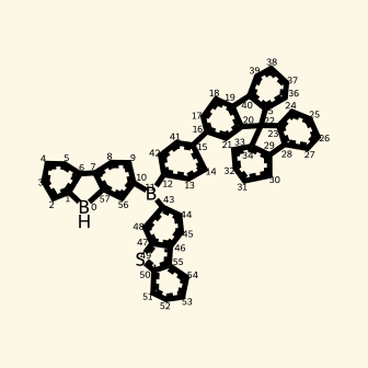 B1c2ccccc2-c2ccc(B(c3ccc(-c4ccc5c(c4)C4(c6ccccc6-c6ccccc64)c4ccccc4-5)cc3)c3ccc4c(c3)sc3ccccc34)cc21